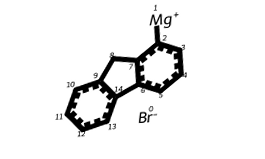 [Br-].[Mg+][c]1cccc2c1Cc1ccccc1-2